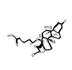 COC(=O)CCCC(=O)O[C@]1(C(=O)CCl)[C@@H](C)C[C@H]2[C@@H]3CCC4=CC(=O)C=C[C@]4(C)[C@@]3(F)[C@@H](O)C[C@@]21C